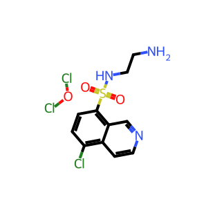 ClOCl.NCCNS(=O)(=O)c1ccc(Cl)c2ccncc12